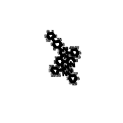 c1ccc(-c2ccc(-c3cc(-c4ccccc4-c4cccnc4-c4nc(-c5ccccc5)nc(-c5ccccc5)n4)nc(-c4ccccc4)n3)cc2)cc1